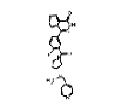 CN(Cc1ccncc1)[C@@H]1CCN(C(=O)c2cc(-c3n[nH]c(=O)c4ccccc34)ccc2F)C1